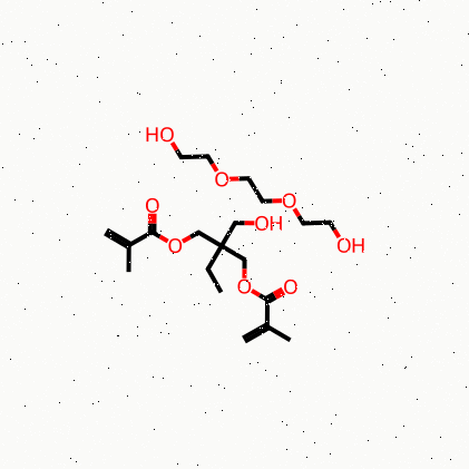 C=C(C)C(=O)OCC(CC)(CO)COC(=O)C(=C)C.OCCOCCOCCO